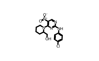 O=[N+]([O-])c1cnc(Nc2ccc(Cl)cc2)nc1N1CCCCC1CO